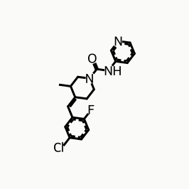 CC1CN(C(=O)Nc2cccnc2)CCC1=Cc1cc(Cl)ccc1F